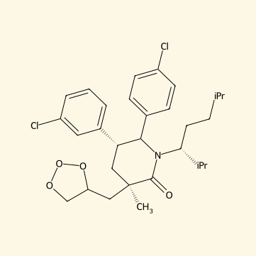 CC(C)CC[C@H](C(C)C)N1C(=O)[C@@](C)(CC2COOO2)C[C@H](c2cccc(Cl)c2)C1c1ccc(Cl)cc1